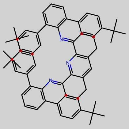 CC(C)(C)c1ccc(-c2cccc(-c3ccc(C(C)(C)C)cc3)c2N=C2CCCc3cc4c(nc32)C(=Nc2c(-c3ccc(C(C)(C)C)cc3)cccc2-c2ccc(C(C)(C)C)cc2)CCC4)cc1